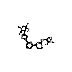 CN1CC(F)(F)[C@@](O)(c2cn(-c3cccc(-c4ccnc(Nc5cnn(C)c5Cl)n4)n3)nn2)C1=O